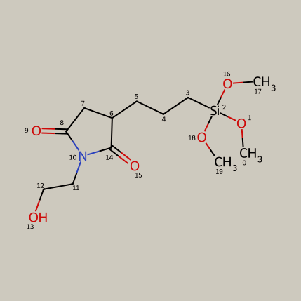 CO[Si](CCCC1CC(=O)N(CCO)C1=O)(OC)OC